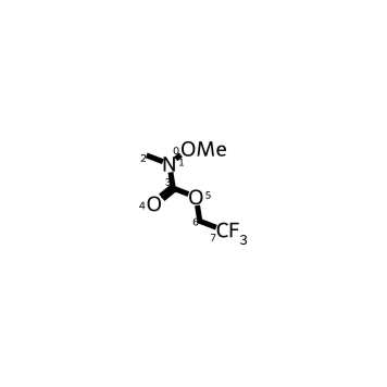 CON(C)C(=O)OCC(F)(F)F